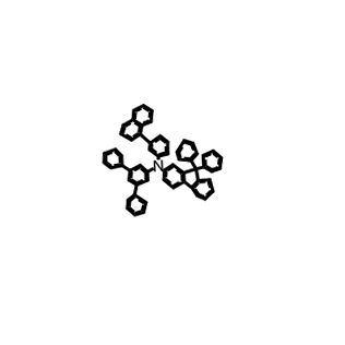 c1ccc(-c2cc(-c3ccccc3)cc(N(c3cccc(-c4cccc5ccccc45)c3)c3ccc4c(c3)C(c3ccccc3)(c3ccccc3)c3ccccc3-4)c2)cc1